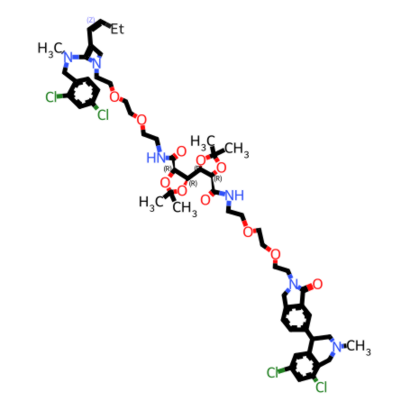 CC/C=C\C1=C(N(C)Cc2ccc(Cl)cc2Cl)N(CCOCCOCCNC(=O)[C@@H]2OC(C)(C)O[C@@H]2[C@H]2OC(C)(C)O[C@H]2C(=O)NCCOCCOCCN2Cc3ccc(C4CN(C)Cc5c(Cl)cc(Cl)cc54)cc3C2=O)C1